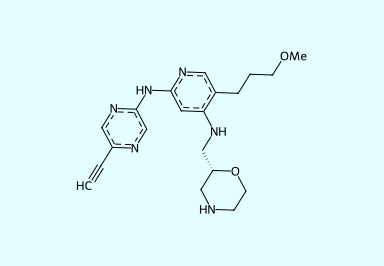 C#Cc1cnc(Nc2cc(NC[C@H]3CNCCO3)c(CCCOC)cn2)cn1